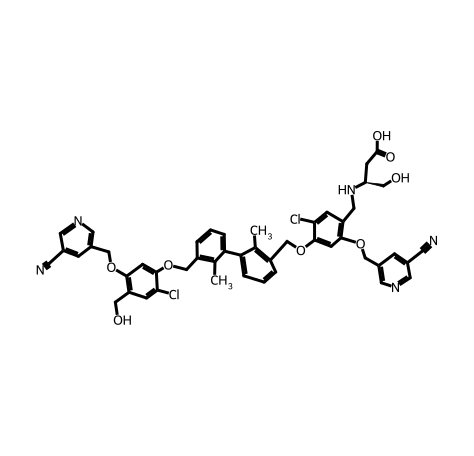 Cc1c(COc2cc(OCc3cncc(C#N)c3)c(CO)cc2Cl)cccc1-c1cccc(COc2cc(OCc3cncc(C#N)c3)c(CN[C@H](CO)CC(=O)O)cc2Cl)c1C